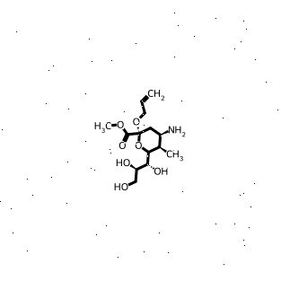 C=CCO[C@]1(C(=O)OC)C[C@@H](N)[C@@H](C)C([C@H](O)[C@H](O)CO)O1